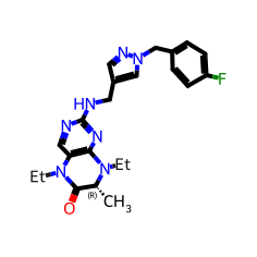 CCN1C(=O)[C@@H](C)N(CC)c2nc(NCc3cnn(Cc4ccc(F)cc4)c3)ncc21